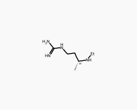 CCN[C@H](C)CCNC(=N)N